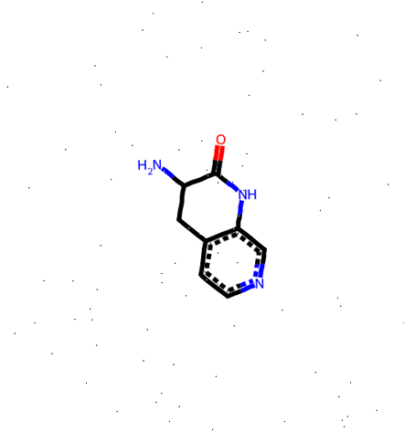 NC1Cc2ccncc2NC1=O